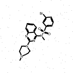 CN1CCN(c2nc(N(C)S(=O)(=O)c3cccc(Br)c3)c3ccccc3n2)CC1